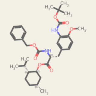 COc1ccc(C[C@@H](NC(=O)OCc2ccccc2)C(=O)O[C@H]2C[C@H](C)CC[C@@H]2C(C)C)cc1NC(=O)OC(C)(C)C